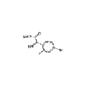 COC(=O)C(=N)c1ccc(Br)cc1C